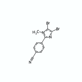 Cn1c(-c2ccc(C#N)cc2)nc(Br)c1Br